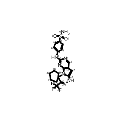 NS(=O)(=O)c1ccc(Nc2ncc3cc4n(c3n2)C2(CCCCC2)C(C(F)(F)F)=NN4)cc1